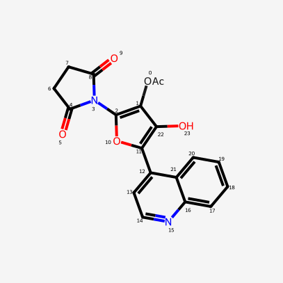 CC(=O)Oc1c(N2C(=O)CCC2=O)oc(-c2ccnc3ccccc23)c1O